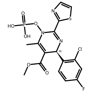 COC(=O)C1=C(C)N(OP(=O)(O)O)C(c2nccs2)=N[C@H]1c1ccc(F)cc1Cl